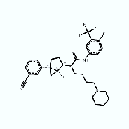 N#Cc1cccc([C@]23CC[C@@H](N(CCCCN4CCCCC4)C(=O)Nc4ccc(F)c(C(F)(F)F)c4)[C@H]2C3)c1